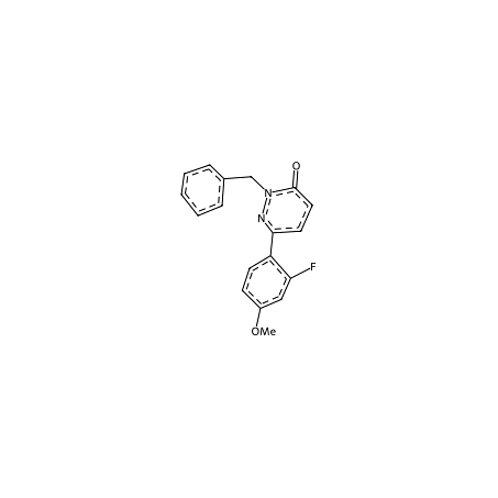 COc1ccc(-c2ccc(=O)n(Cc3ccccc3)n2)c(F)c1